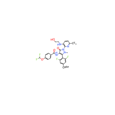 COc1cc(F)c(-c2c(NC(=O)c3ccc(OC(F)F)cc3)c(=O)n(-c3nc(C(F)(F)F)ccc3NCCO)n2C)c(F)c1